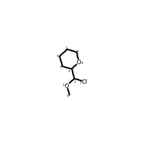 COC(Cl)C1CCCCO1